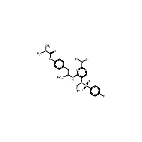 CCN(CC)c1ncc(N(CC(C)C)S(=O)(=O)c2ccc(F)cc2)c(NC(Cc2ccc(OC(=O)N(C)C)cc2)C(=O)O)n1